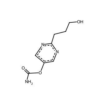 NC(=O)Oc1cnc(CCCO)nc1